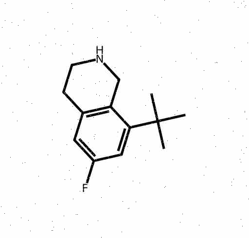 CC(C)(C)c1cc(F)cc2c1CNCC2